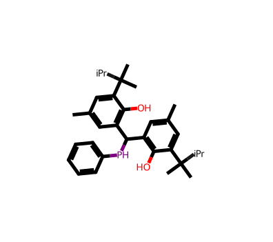 Cc1cc(C(Pc2ccccc2)c2cc(C)cc(C(C)(C)C(C)C)c2O)c(O)c(C(C)(C)C(C)C)c1